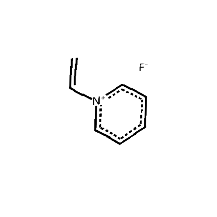 C=C[n+]1ccccc1.[F-]